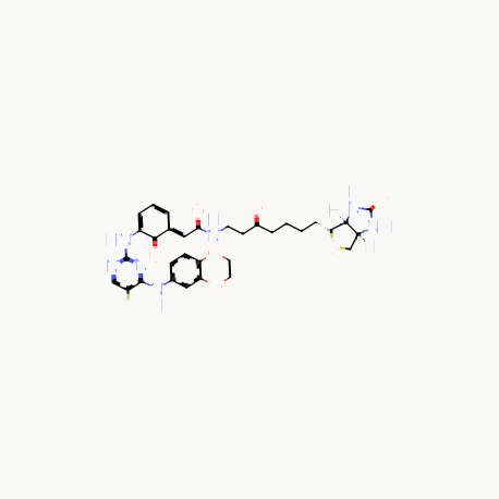 O=C(CCCC[C@@H]1SC[C@@H]2NC(=O)N[C@@H]21)CCNC(=O)C=C1C=CC=C(Nc2ncc(F)c(Nc3ccc4c(c3)OCCO4)n2)C1=O